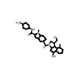 Cc1cccc2c(O)cc3c(c12)C(CCl)CN3C(=O)c1ccc2c(c1)cc(C(=O)Nc1ccc(N)cc1)n2C